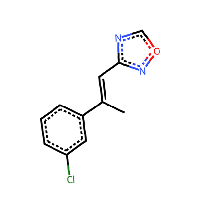 CC(=Cc1ncon1)c1cccc(Cl)c1